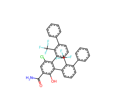 NC(=O)c1cc(Cl)c(-c2cccc(-c3ccccc3)c2C(F)(F)F)c(-c2cccc(-c3ccccc3)c2C(F)(F)F)c1O